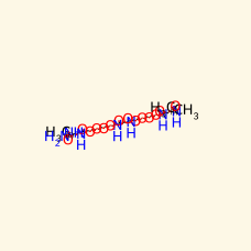 CN[C@@H](CCCCNC(=O)COCCOCCOCCOCNC(=O)CCCC(=O)NCCOCCOCCOCCOCCC(=O)NCCCC[C@H](NC)C(N)=O)C(C)=O